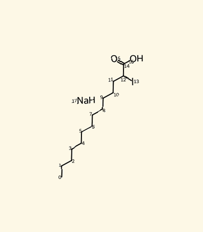 CCCCCCCCCCCCC(I)C(=O)O.[NaH]